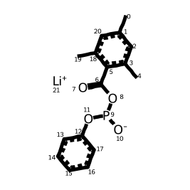 Cc1cc(C)c(C(=O)OP([O-])Oc2ccccc2)c(C)c1.[Li+]